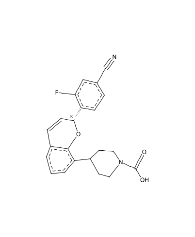 N#Cc1ccc([C@H]2C=Cc3cccc(C4CCN(C(=O)O)CC4)c3O2)c(F)c1